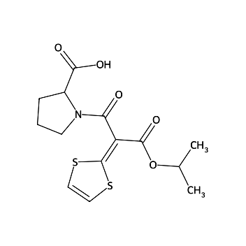 CC(C)OC(=O)C(C(=O)N1CCCC1C(=O)O)=C1SC=CS1